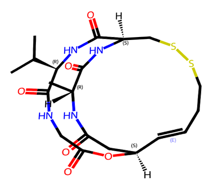 CC(C)[C@H]1NC(=O)[C@H]2CSSCC/C=C/[C@H](CC(=O)N[C@H](C)C(=O)N2)OC(=O)CNC1=O